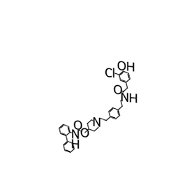 O=C(Cc1ccc(O)c(Cl)c1)NCCc1ccc(CCN2CCC(OC(=O)Nc3ccccc3-c3ccccc3)CC2)cc1